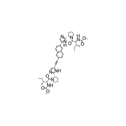 CC[C@H](C)[C@H](NC(=O)OC)C(=O)N1CCC[C@H]1c1ncc(C#Cc2ccc3cc(-c4cnc([C@@H]5CCCN5C(=O)[C@@H](NC(=O)OC)[C@@H](C)CC)[nH]4)ccc3c2)[nH]1